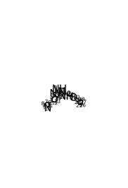 Nc1nc2cc(-c3cccnc3)ccc2c2[nH]c(CCCOCc3ccccc3)nc12